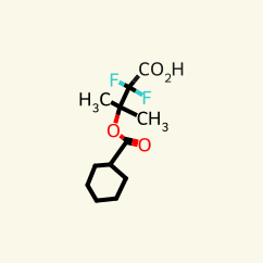 CC(C)(OC(=O)C1CCCCC1)C(F)(F)C(=O)O